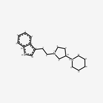 c1ccc2c(CCN3CCC(N4CCCCC4)C3)csc2c1